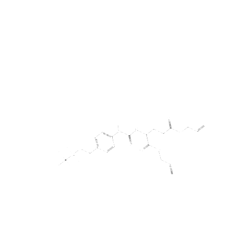 C=CCOC(=O)CCC(NC(=O)Nc1ccc(CO[Si](C)(C)C(C)(C)C)cc1)C(=O)OCC=C